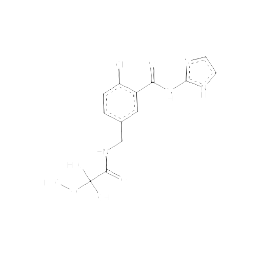 COC(C)(C)C(=O)NCc1ccc(Cl)c(C(=O)Nc2ncc[nH]2)c1